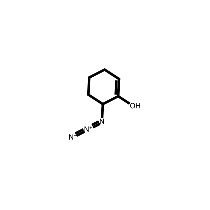 [N-]=[N+]=NC1CCCC=C1O